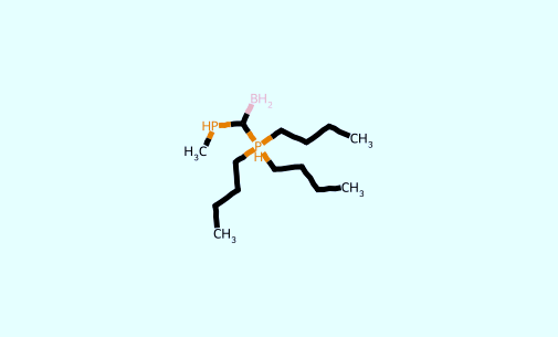 BC(PC)[PH](CCCC)(CCCC)CCCC